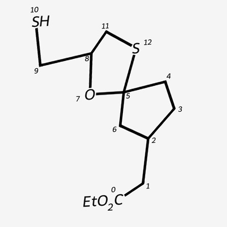 CCOC(=O)CC1CCC2(C1)OC(CS)CS2